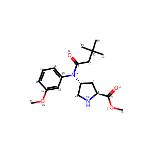 COC(=O)[C@@H]1C[C@@H](N(C(=O)CC(C)(C)C)c2cccc(OC)c2)CN1